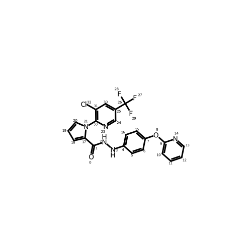 O=C(NNc1ccc(Oc2ccccn2)cc1)c1cccn1-c1ncc(C(F)(F)F)cc1Cl